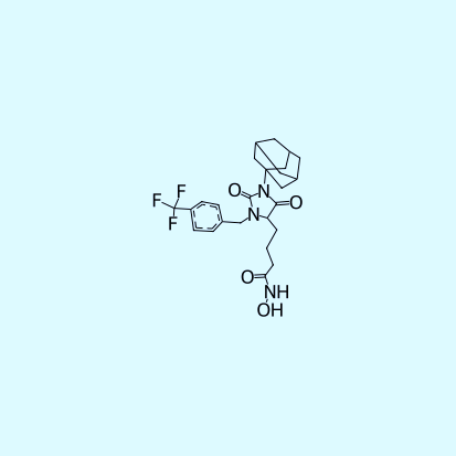 O=C(CCCC1C(=O)N(C23CC4CC(CC(C4)C2)C3)C(=O)N1Cc1ccc(C(F)(F)F)cc1)NO